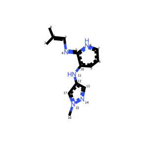 CC(C)=C/N=c1\[nH]cccc1Nc1cnn(C)c1